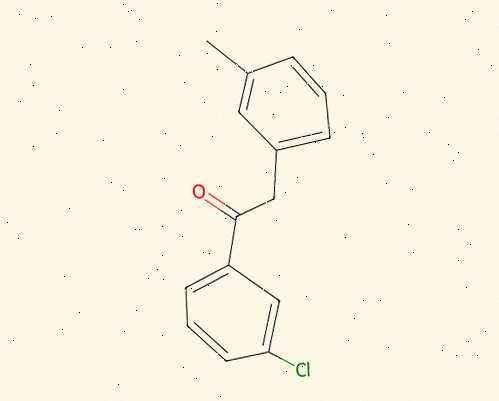 Cc1cccc(CC(=O)c2cccc(Cl)c2)c1